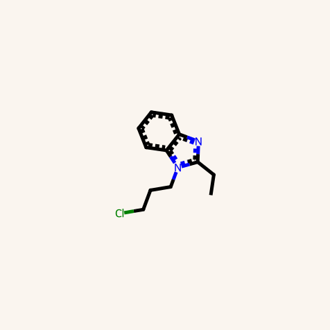 CCc1nc2ccccc2n1CCCCl